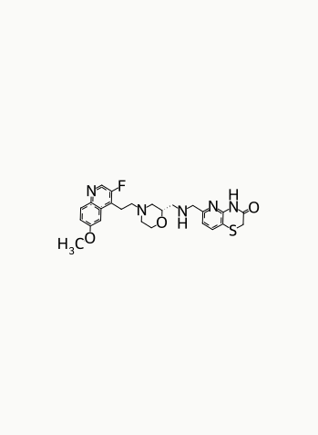 COc1ccc2ncc(F)c(CCN3CCO[C@@H](CNCc4ccc5c(n4)NC(=O)CS5)C3)c2c1